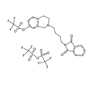 O=C1c2ccccc2C(=O)N1CCCCN1CCc2ccc(OS(=O)(=O)C(F)(F)F)cc2C1.O=S(=O)(OS(=O)(=O)C(F)(F)F)C(F)(F)F